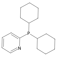 c1ccc(P(C2CCCCC2)C2CCCCC2)nc1